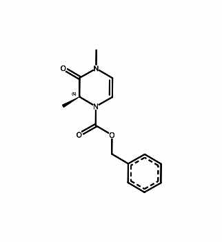 C[C@H]1C(=O)N(C)C=CN1C(=O)OCc1ccccc1